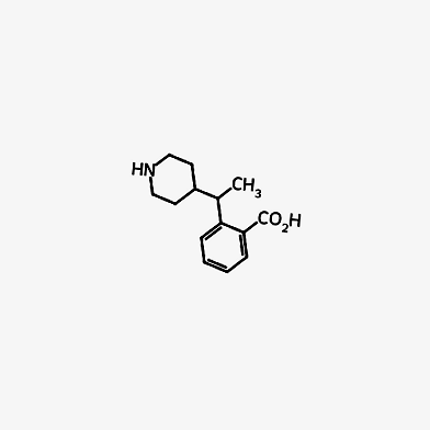 CC(c1ccccc1C(=O)O)C1CCNCC1